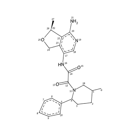 CC1CCC(c2ccccc2)N(C(=O)C(=O)Nc2cnc(N)c3c2CO[C@H]3C)C1